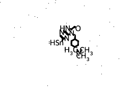 CN(C)C.O=CC1Nc2nc[c]([SnH])nc2N1CC1CCCCC1